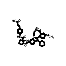 COc1ccc2c(c1)CN(C)CCn1c-2c(C2CCCCC2)c2ccc(C(=O)NC3(C(=O)Nc4ccc(C=CC(=O)O)cc4)CCCC3)cc21